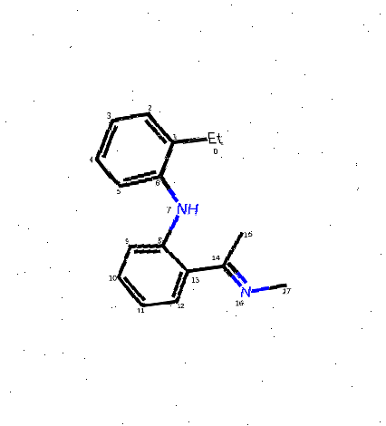 CCc1ccccc1Nc1ccccc1/C(C)=N/C